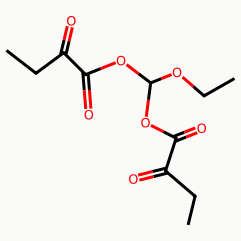 CCOC(OC(=O)C(=O)CC)OC(=O)C(=O)CC